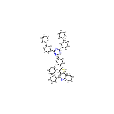 c1ccc(-c2cccc(-c3nc(-c4ccc(-c5sc6c(c(-c7ccccc7)nc7ccccc76)c5-c5ccccc5)cc4)nc(-c4cccc(-c5ccccc5)c4)n3)c2)cc1